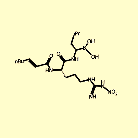 CCCC/C=C/C(=O)N[C@@H](CCCNC(=N)N[N+](=O)[O-])C(=O)N[C@@H](CC(C)C)B(O)O